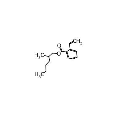 C=Cc1ccccc1C(=O)OCC(C)CCCC